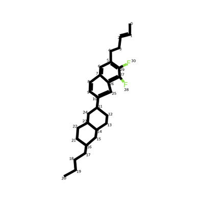 CC=CCCc1cc2ccc(C3CCC4CC(CCCC)CCC4C3)cc2c(F)c1F